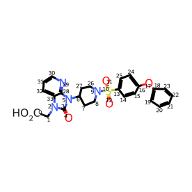 O=C(O)Cn1c(=O)n(C2CCN(S(=O)(=O)c3ccc(Oc4ccccc4)cc3)CC2)c2ncccc21